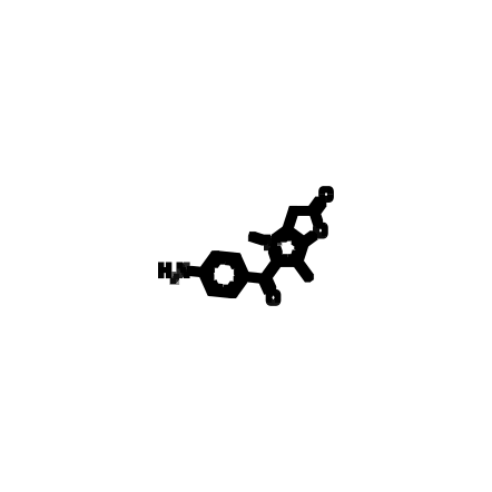 Cc1c2c(n(C)c1C(=O)c1ccc(N)cc1)CC(=O)O2